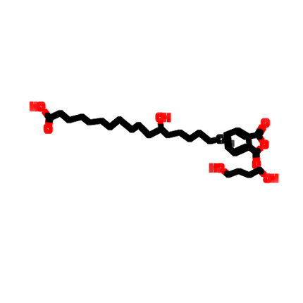 CCCCCCC(O)CCCCCCCCCCC(=O)O.O=C1OC(=O)c2ccccc21.OCCCCO